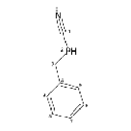 N#CPCc1ccccc1